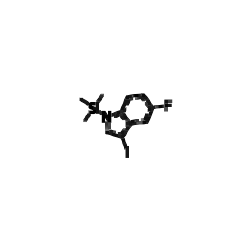 C[Si](C)(C)n1cc(I)c2cc(F)ccc21